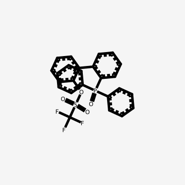 O=P(c1ccccc1)(c1ccccc1)c1ccccc1-c1ccccc1OS(=O)(=O)C(F)(F)F